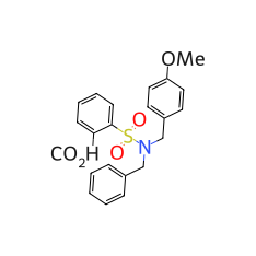 COc1ccc(CN(Cc2ccccc2)S(=O)(=O)c2ccccc2C(=O)O)cc1